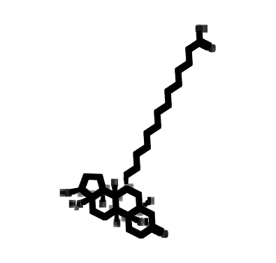 C[C@]12CCC(=O)C[C@@H]1C[C@@H](CCCCCCCCCCCCCC(=O)O)[C@@H]1[C@@H]2CC[C@]2(C)[C@@H](O)CC[C@@H]12